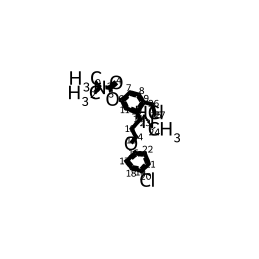 CN(C)C(=O)Oc1ccc2c(c1)C(CCOc1ccc(Cl)cc1)N(C)CC2.Cl